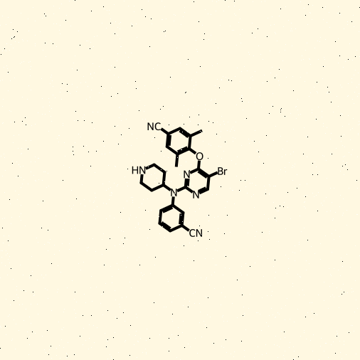 Cc1cc(C#N)cc(C)c1Oc1nc(N(c2cccc(C#N)c2)C2CCNCC2)ncc1Br